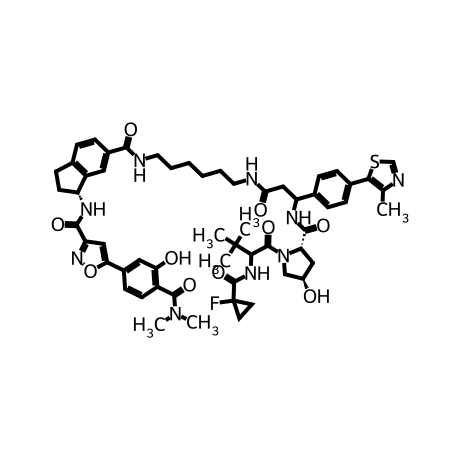 Cc1ncsc1-c1ccc(C(CC(=O)NCCCCCCNC(=O)c2ccc3c(c2)[C@H](NC(=O)c2cc(-c4ccc(C(=O)N(C)C)c(O)c4)on2)CC3)NC(=O)[C@@H]2C[C@@H](O)CN2C(=O)C(NC(=O)C2(F)CC2)C(C)(C)C)cc1